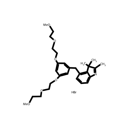 Br.COCCOCCOc1cc(Cc2cccc3c2C(C)(C)C(C)=N3)cc(OCCOCCOC)c1